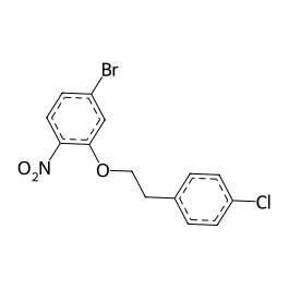 O=[N+]([O-])c1ccc(Br)cc1OCCc1ccc(Cl)cc1